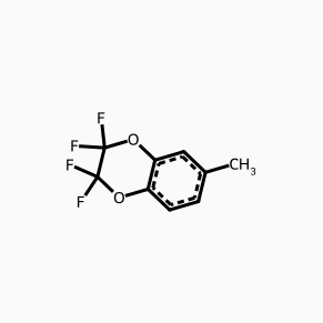 Cc1ccc2c(c1)OC(F)(F)C(F)(F)O2